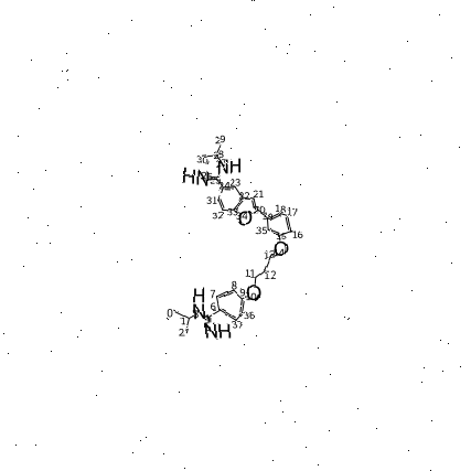 CC(C)NC(=N)c1ccc(OCCCOc2cccc(-c3cc4cc(C(=N)NC(C)C)ccc4o3)c2)cc1